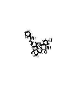 O=C1Nc2cc(Cl)ccc2C(=O)N(Cc2ccc(CNc3ccccn3)cc2)C1CC1CCOCC1